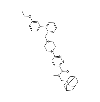 CCOc1cccc(-c2ccccc2CN2CCN(c3ccc(C(=O)N(C)CC45CC6CC(CC(C6)C4)C5)nn3)CC2)c1